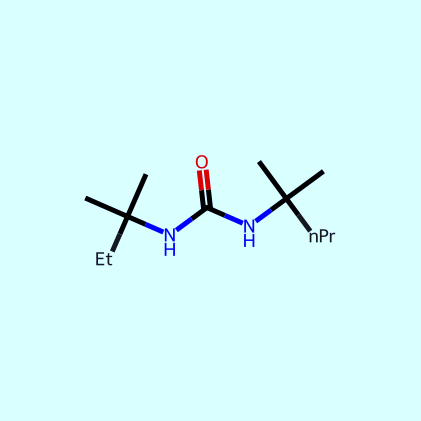 CCCC(C)(C)NC(=O)NC(C)(C)CC